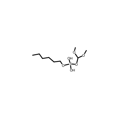 CCCCCC[O][Ti]([OH])([OH])[O]C(OC)OC